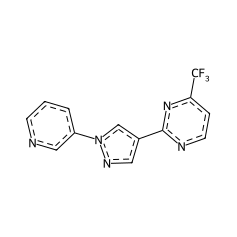 FC(F)(F)c1ccnc(-c2cnn(-c3cccnc3)c2)n1